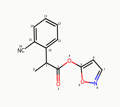 CC(C(=O)Oc1ccno1)c1ccccc1C#N